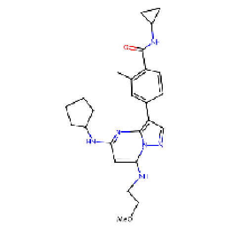 COCCNc1cc(NC2CCCC2)nc2c(-c3ccc(C(=O)NC4CC4)c(C)c3)cnn12